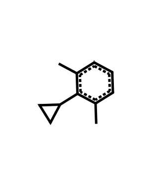 Cc1[c]ccc(C)c1C1CC1